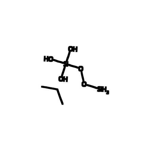 CCC.O[Si](O)(O)OO[SiH3]